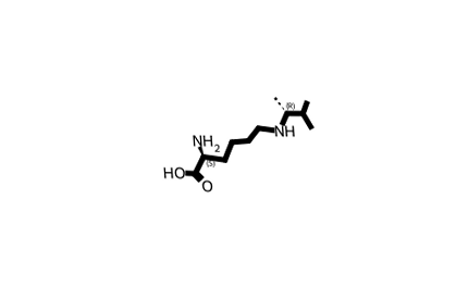 CC(C)[C@@H](C)NCCCC[C@H](N)C(=O)O